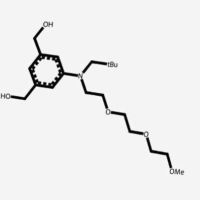 COCCOCCOCCN(CC(C)(C)C)c1cc(CO)cc(CO)c1